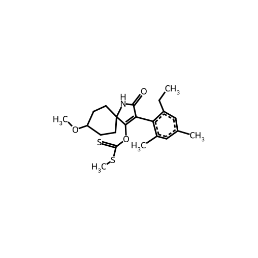 CCc1cc(C)cc(C)c1C1=C(OC(=S)SC)C2(CCC(OC)CC2)NC1=O